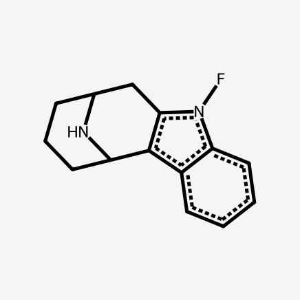 Fn1c2c(c3ccccc31)C1CCCC(C2)N1